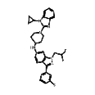 Fc1cccc(-c2nn(CC(F)F)c3cc(NC4CCN(c5nc6ccccc6n5C5CC5)CC4)ccc23)c1